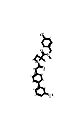 CN(CC1=CC=C(Cl)CC1)C(=O)C1(C)CCN1C(=O)CC1=CC=C(C2=CC=CC(N)C2)CC1